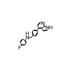 Fc1ccc(NCc2ccc(-c3ccnc4[nH]ccc34)cc2)cc1